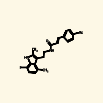 CC(=O)c1ccc(/C=C/C(=O)NCCc2c(C)[nH]c3c(F)ccc(C)c23)cc1